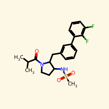 CC(C)C(=O)N1CCC(NS(C)(=O)=O)C1Cc1cccc(-c2cccc(F)c2F)c1